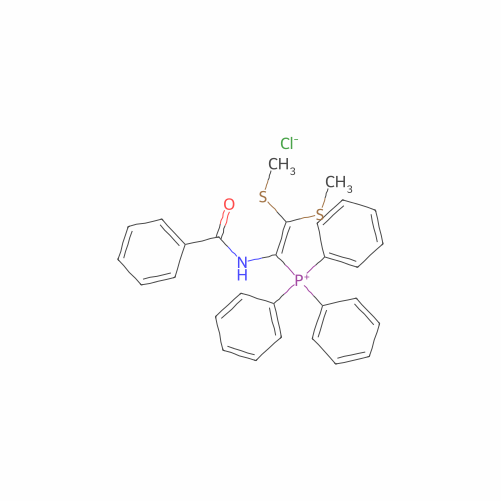 CSC(SC)=C(NC(=O)c1ccccc1)[P+](c1ccccc1)(c1ccccc1)c1ccccc1.[Cl-]